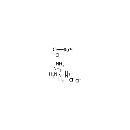 N.N.N.N.N.[Cl-].[Cl-].[Cl-].[Cl][Ru+3]